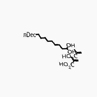 C=C(C)C(=O)O.C=C(C)C(=O)O.CCCCCCCCCCCCCCCCCCC(O)O